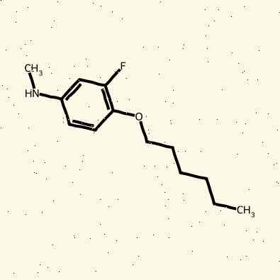 CCCCCCOc1ccc(NC)cc1F